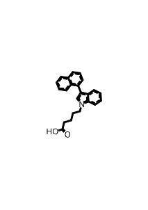 O=C(O)CCCCn1cc(-c2cccc3ccccc23)c2ccccc21